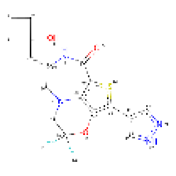 O=C1N[C@@H](CC2(O)CCC2)CN2CC(F)(F)Oc3c(-c4cn[nH]c4)sc1c32